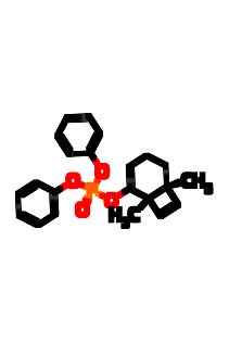 CC12C=C[C@@]1(C)CCC=C2OP(=O)(Oc1ccccc1)Oc1ccccc1